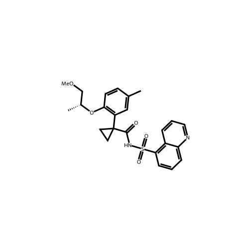 COC[C@@H](C)Oc1ccc(C)cc1C1(C(=O)NS(=O)(=O)c2cccc3ncccc23)CC1